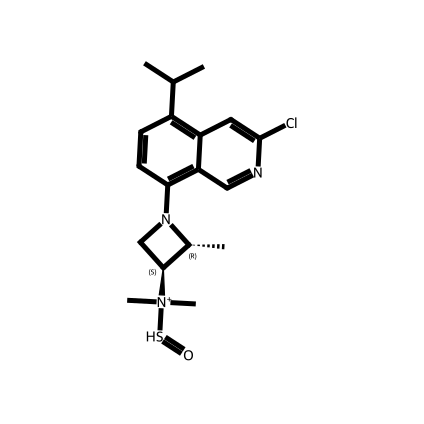 CC(C)c1ccc(N2C[C@H]([N+](C)(C)[SH]=O)[C@H]2C)c2cnc(Cl)cc12